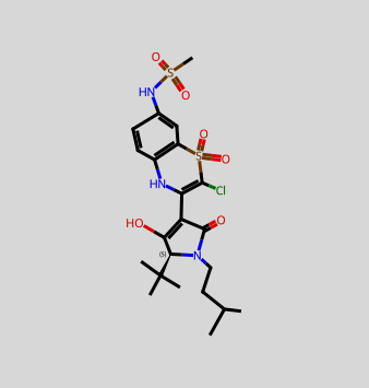 CC(C)CCN1C(=O)C(C2=C(Cl)S(=O)(=O)c3cc(NS(C)(=O)=O)ccc3N2)=C(O)[C@@H]1C(C)(C)C